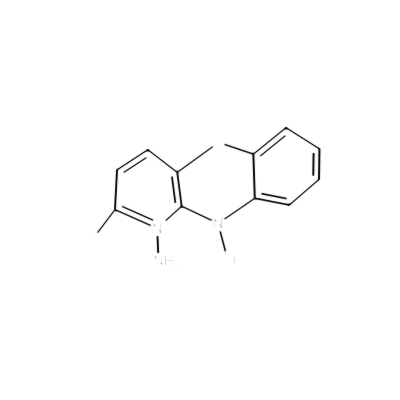 CCN1c2ccccc2Sc2ccc(C(C)C)[n+](N)c21